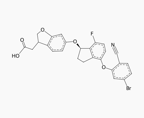 N#Cc1ccc(Br)cc1Oc1ccc(F)c2c1CC[C@H]2Oc1ccc2c(c1)OCC2CC(=O)O